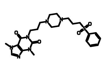 Cn1cnc2c1c(=O)n(CCCN1CCN(CCCS(=O)(=O)c3ccccc3)CC1)c(=O)n2C